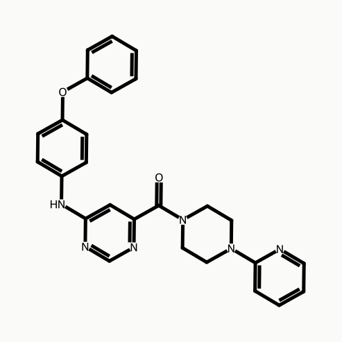 O=C(c1cc(Nc2ccc(Oc3ccccc3)cc2)ncn1)N1CCN(c2ccccn2)CC1